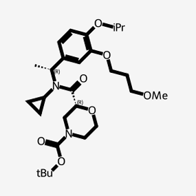 COCCCOc1cc([C@@H](C)N(C(=O)[C@H]2CN(C(=O)OC(C)(C)C)CCO2)C2CC2)ccc1OC(C)C